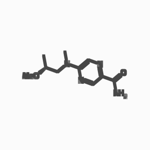 CO[C@@H](C)CN(C)c1cnc(C(N)=O)cn1